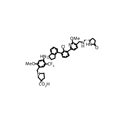 COc1cc(N[C@H]2CCc3c(-c4cccc(-c5ccc(CNC[C@@H]6CCC(=O)N6)c(OC)n5)c4Cl)cccc32)c(C(F)(F)F)cc1CN1CC[C@@H](C(=O)O)C1